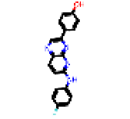 Oc1ccc(-c2cnc3ccc(Nc4ccc(F)cc4)nc3n2)cc1